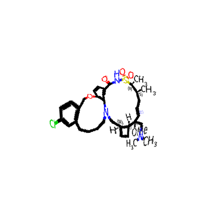 CO[C@]1(CN(C)C)/C=C/C[C@H](C)[C@@H](C)S(=O)(=O)NC(=O)c2ccc3c(c2)N(CCCCc2cc(Cl)ccc2CO3)C[C@@H]2CC[C@H]21